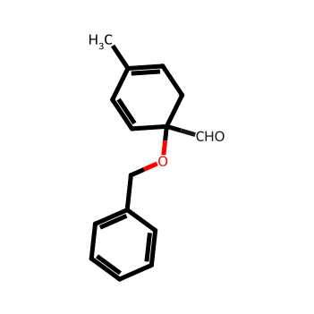 CC1=CCC(C=O)(OCc2ccccc2)C=C1